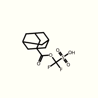 O=C(OC(F)(F)S(=O)(=O)O)C12CC3CC(CC(C3)C1)C2